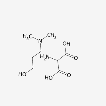 CN(C)CCCO.NC(C(=O)O)C(=O)O